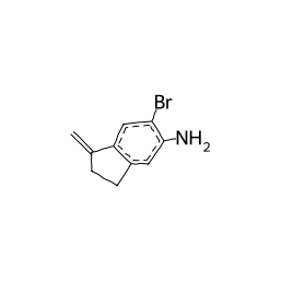 C=C1CCc2cc(N)c(Br)cc21